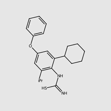 CC(C)c1cc(Oc2ccccc2)cc(C2CCCCC2)c1NC(=N)S